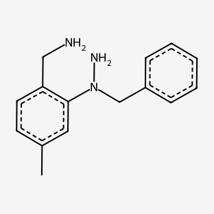 Cc1ccc(CN)c(N(N)Cc2ccccc2)c1